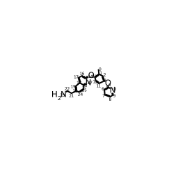 Cc1cc(Oc2ccccn2)ccc1Oc1ccc2cc(CCN)ccc2n1